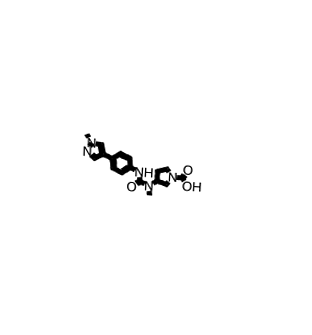 CN(C(=O)Nc1ccc(-c2cnn(C)c2)cc1)C1CCN(C(=O)O)C1